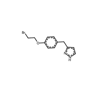 BrCCOc1ccc(Cc2cc[nH]n2)cc1